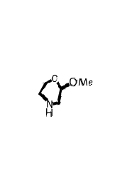 COC1CNC[CH]O1